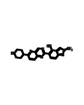 Cn1cc2c(O)c(-c3ncc4nc(C5CCNCC5)ccc4n3)ccc2n1